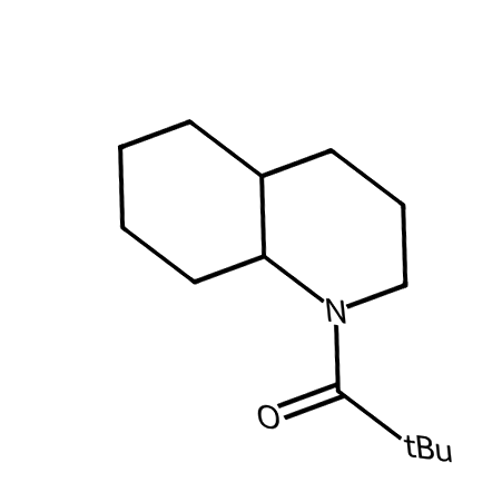 CC(C)(C)C(=O)N1CCCC2CCCCC21